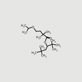 CC(C)OCCC(C)(C)C(=O)OC(CC(C)(C)C)C(C)(C)C